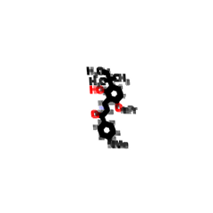 C=CC(C)(C)c1ccc(OCCC)c(/C=C/C(=O)c2ccc(NC)cc2)c1O